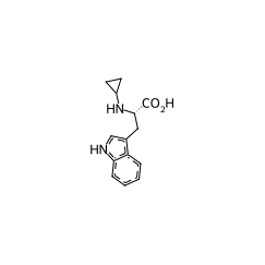 O=C(O)[C@H](Cc1c[nH]c2ccccc12)NC1CC1